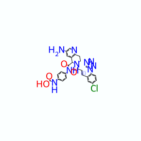 Nc1cnc2c(c1)C(C(=O)Nc1ccc(NC(=O)O)cc1)N(C(=O)/C=C/c1cc(Cl)ccc1-n1cnnn1)CC2